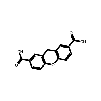 O=C(O)c1ccc2c(c1)Cc1cc(C(=O)O)ccc1O2